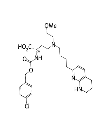 COCCN(CCCCc1ccc2c(n1)NCCC2)CC[C@H](NC(=O)OCc1ccc(Cl)cc1)C(=O)O